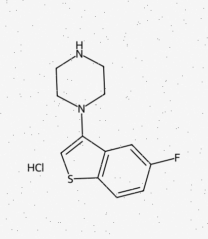 Cl.Fc1ccc2scc(N3CCNCC3)c2c1